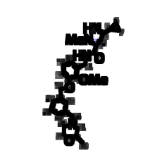 CN/C(=C\C(=N)C1CC1)C(=O)NCc1cccc(OCc2cccc(CN3CCOC(C)C3)c2)c1OC